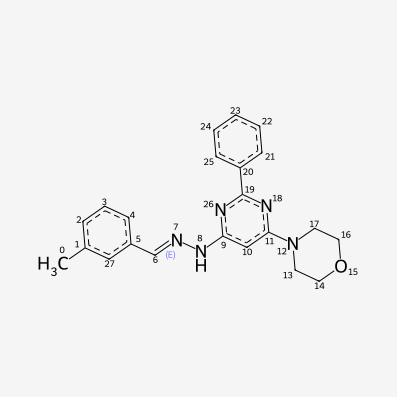 Cc1cccc(/C=N/Nc2cc(N3CCOCC3)nc(-c3ccccc3)n2)c1